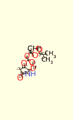 CC(C)C(=O)O[C@@H](C)OC(=O)OC1CC(=O)NC1=O